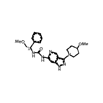 COC[C@@H](NC(=O)Nc1cc2[nH]nc(N3CCC(OC)CC3)c2cn1)c1ccccc1